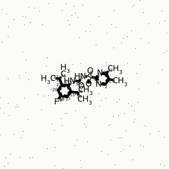 Cc1cnc(S(=O)(=O)NC(=O)Nc2c(C(C)C)cc(F)cc2C(C)C)nc1C